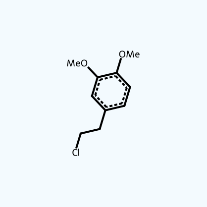 COc1ccc(CCCl)cc1OC